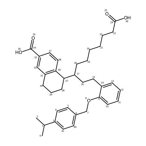 CC(C)c1ccc(COc2ccccc2CCC(CCCCCCC(=O)O)C2CCCc3cc(C(=O)O)ccc32)cc1